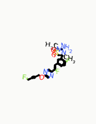 CN1C(N)=N[C@](C)(c2cc(/C=C(\F)c3cnc(OCC#CCF)cn3)ccc2F)CS1(=O)=O